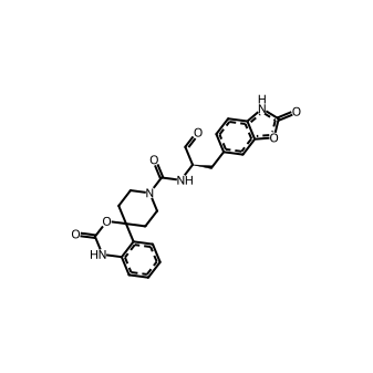 O=C[C@@H](Cc1ccc2[nH]c(=O)oc2c1)NC(=O)N1CCC2(CC1)OC(=O)Nc1ccccc12